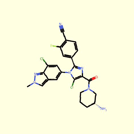 Cn1cc2cc(-n3c(-c4ccc(C#N)c(F)c4)nc(C(=O)N4CCC[C@@H](N)C4)c3Cl)cc(Cl)c2n1